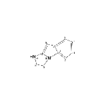 c1ccc2c(c1)cc1n2CCN1